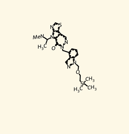 CNC(C)n1c2ncsc2c2cnn(Cc3cccc4c3cnn4COCC[Si](C)(C)C)c(=O)c21